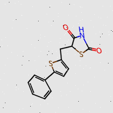 O=C1NC(=O)C(Cc2ccc(-c3ccccc3)s2)S1